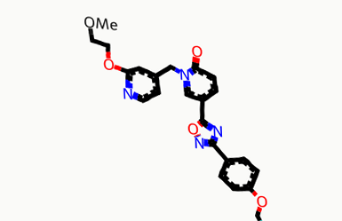 COCCOc1cc(Cn2cc(-c3nc(-c4ccc(OCF)cc4)no3)ccc2=O)ccn1